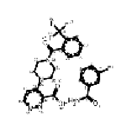 NC(=O)c1cccc(F)c1.O=C(O)c1nnccc1N1CCN(C(=O)c2ccccc2C(F)(F)F)CC1